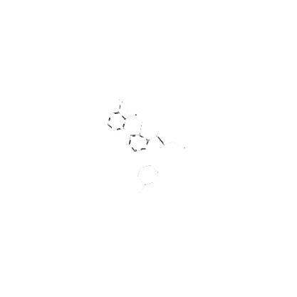 C/C(=C\CO)c1c(O[C@H]2CC[C@H](N)CC2)ccc2c1CC(C)(C)c1c(N)ncnc1-2